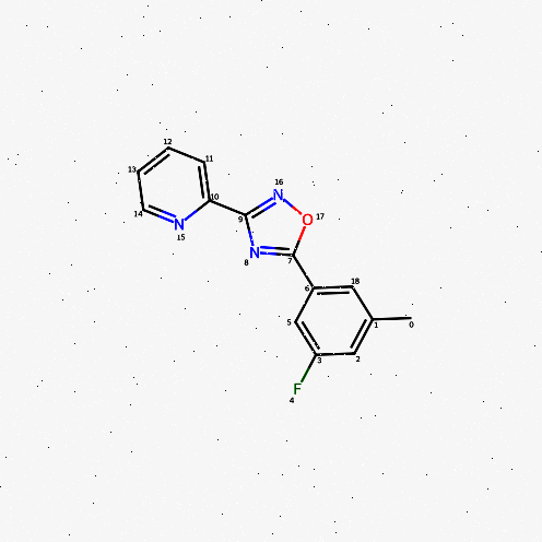 Cc1cc(F)cc(-c2nc(-c3ccccn3)no2)c1